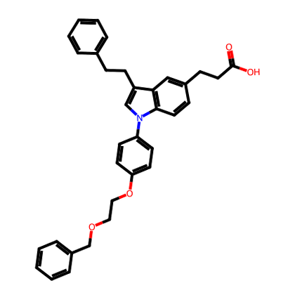 O=C(O)CCc1ccc2c(c1)c(CCc1ccccc1)cn2-c1ccc(OCCOCc2ccccc2)cc1